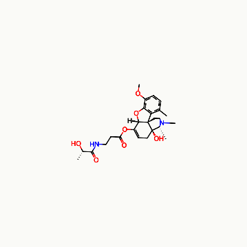 COc1ccc(C)c2c1O[C@H]1C(OC(=O)CCNC(=O)[C@H](C)O)=CC[C@@]3(O)[C@@H](C)N(C)CC[C@]213